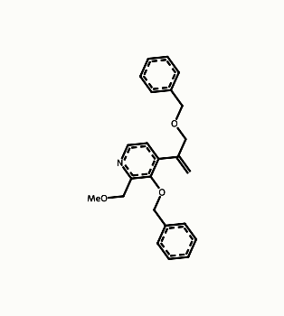 C=C(COCc1ccccc1)c1ccnc(COC)c1OCc1ccccc1